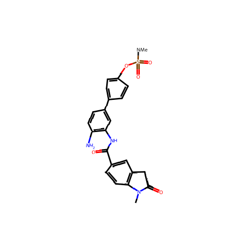 CNS(=O)(=O)Oc1ccc(-c2ccc(N)c(NC(=O)c3ccc4c(c3)CC(=O)N4C)c2)cc1